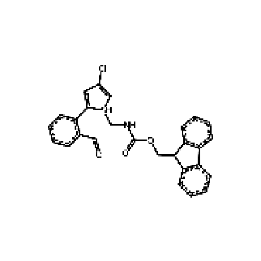 O=Cc1ccccc1C1=CC(Cl)=C[SH]1CNC(=O)OCC1c2ccccc2-c2ccccc21